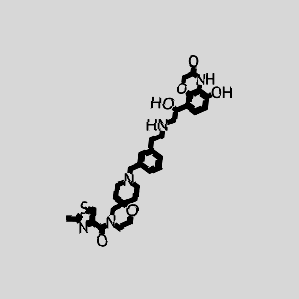 Cc1nc(C(=O)N2CCOC3(CCN(Cc4cccc(CCNCC(O)c5ccc(O)c6c5OCC(=O)N6)c4)CC3)C2)cs1